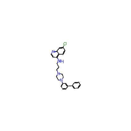 Clc1ccc2c(NCCCN3CCN(c4cccc(-c5ccccc5)c4)CC3)ccnc2c1